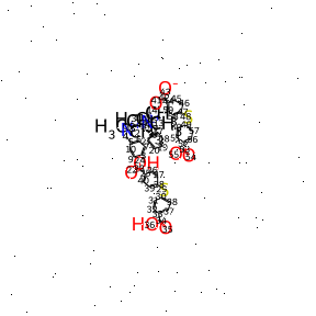 C[N+](C)(C)Cc1ccccc1.C[N+](C)(C)Cc1ccccc1.O=C(O)c1ccc(Sc2ccc(C(=O)O)cc2)cc1.O=C([O-])c1ccc(Sc2ccc(C(=O)[O-])cc2)cc1